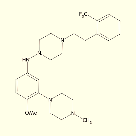 COc1ccc(NN2CCN(CCc3ccccc3C(F)(F)F)CC2)cc1N1CCN(C)CC1